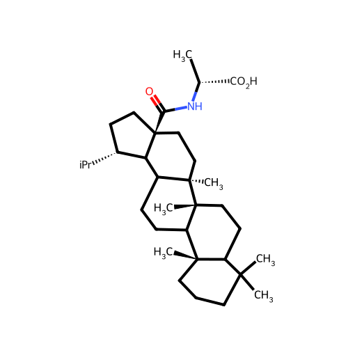 CC(C)[C@@H]1CC[C@]2(C(=O)N[C@H](C)C(=O)O)CC[C@]3(C)C(CCC4[C@@]5(C)CCCC(C)(C)C5CC[C@]43C)C12